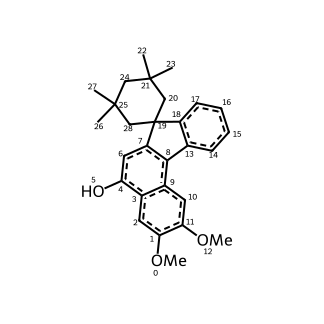 COc1cc2c(O)cc3c(c2cc1OC)-c1ccccc1C31CC(C)(C)CC(C)(C)C1